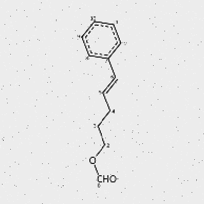 O=[C]OCCC/C=C/c1ccccc1